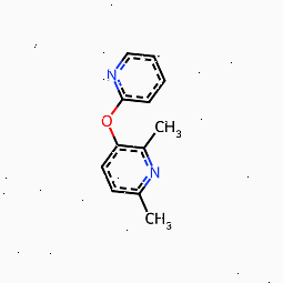 Cc1ccc(Oc2cc[c]cn2)c(C)n1